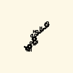 COc1cc2c(Oc3ccc4[nH]cc(C)c4c3)ncnc2cc1OC[C@H](O)CNCCCN1CCOCC1